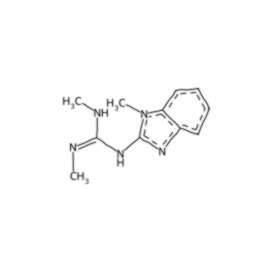 C/N=C(/NC)Nc1nc2ccccc2n1C